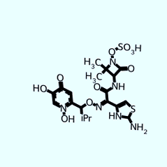 CC(C)C(O/N=C(\C(=O)NC1C(=O)N(OS(=O)(=O)O)C1(C)C)C1=CSC(N)N1)c1cc(=O)c(O)cn1O